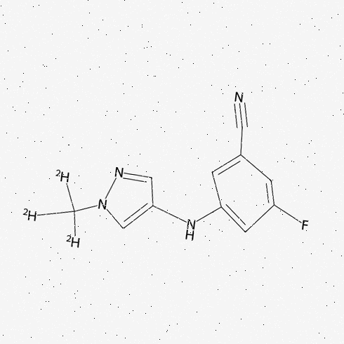 [2H]C([2H])([2H])n1cc(Nc2cc(F)cc(C#N)c2)cn1